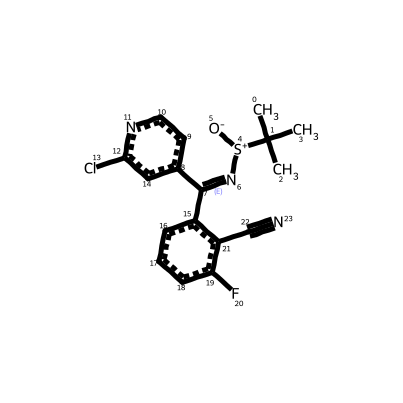 CC(C)(C)[S+]([O-])/N=C(\c1ccnc(Cl)c1)c1cccc(F)c1C#N